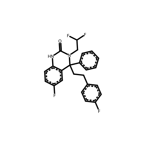 O=C1Nc2ccc(F)cc2C(CCc2ccc(F)cc2)(c2ccccc2)N1CC(F)F